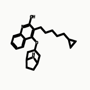 Oc1nc2ccccc2c(OC2CC3CCC(C2)N3)c1CCCCCC1CC1